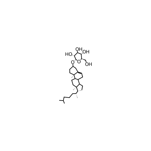 CC(C)CCC[C@@H](C)[C@H]1CCC2C3CC=C4CC(O[C@H]5O[C@H](CO)[C@@H](O)[C@H](O)[C@H]5O)CC[C@]4(C)C3CC[C@@]21C